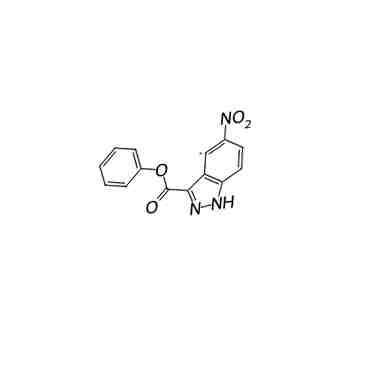 O=C(Oc1ccccc1)c1n[nH]c2ccc([N+](=O)[O-])[c]c12